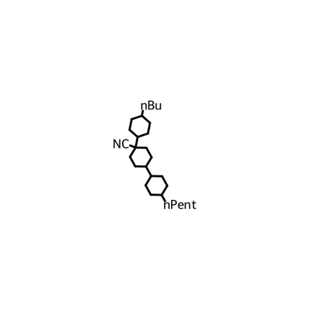 CCCCCC1CCC(C2CCC(C#N)(C3CCC(CCCC)CC3)CC2)CC1